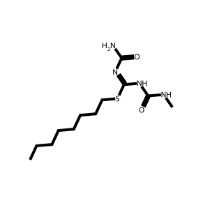 CCCCCCCCSC(=NC(N)=O)NC(=O)NC